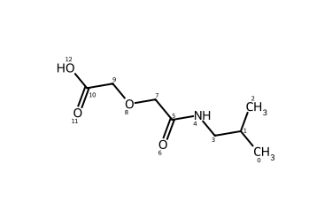 CC(C)CNC(=O)COCC(=O)O